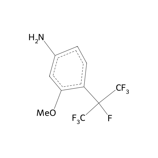 COc1cc(N)ccc1C(F)(C(F)(F)F)C(F)(F)F